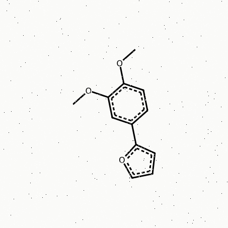 COc1ccc(-c2cc[c]o2)cc1OC